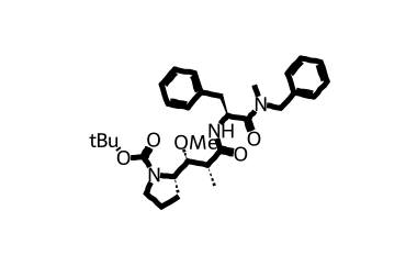 CO[C@H]([C@@H](C)C(=O)N[C@@H](Cc1ccccc1)C(=O)N(C)Cc1ccccc1)[C@@H]1CCCN1C(=O)OC(C)(C)C